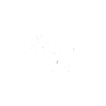 CC(C)(C)c1ccc(N(c2ccc3c(c2)-c2ccccc2C32c3ccccc3-c3ccccc32)c2ccc3ccccc3c2-c2cccc(-c3ccccc3)c2)cc1